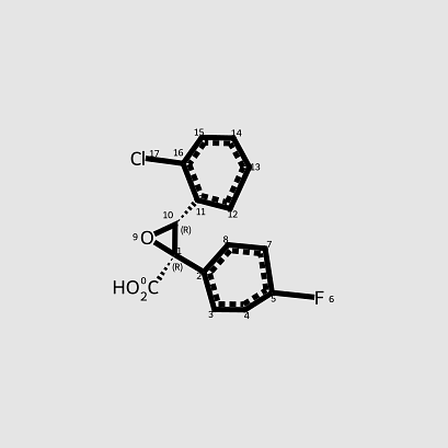 O=C(O)[C@]1(c2ccc(F)cc2)O[C@@H]1c1ccccc1Cl